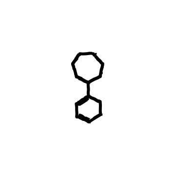 [CH]1CCCC(C2=CC=CCC2)CC1